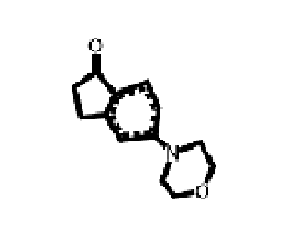 O=C1CCc2cc(N3CCOCC3)ccc21